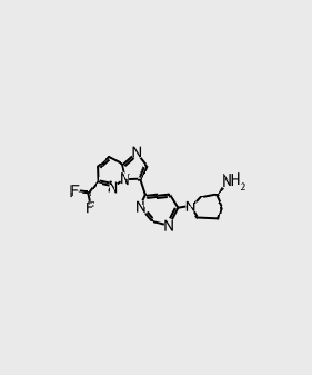 N[C@H]1CCCN(c2cc(-c3cnc4ccc(C(F)F)nn34)ncn2)C1